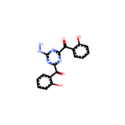 NNc1nc(C(=O)c2ccccc2O)nc(C(=O)c2ccccc2O)n1